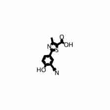 Cc1nc(-c2ccc(O)c(C#N)c2)sc1C(=O)O